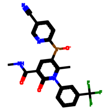 CNC(=O)c1cc([S+]([O-])c2ccc(C#N)cn2)c(C)n(-c2cccc(C(F)(F)F)c2)c1=O